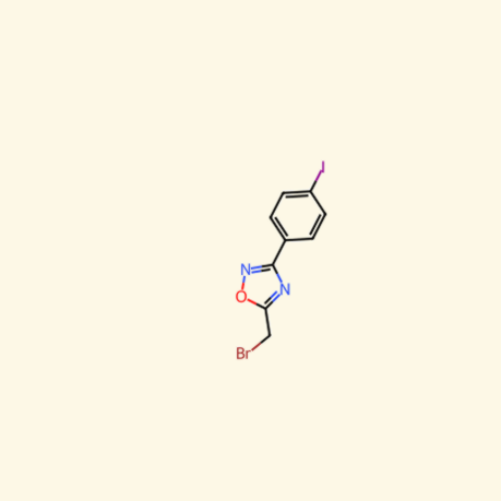 BrCc1nc(-c2ccc(I)cc2)no1